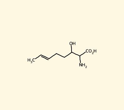 C/C=C/CCC(O)C(N)C(=O)O